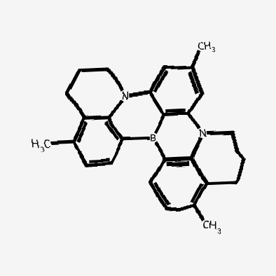 Cc1cc2c3c(c1)N1CCCc4c(C)ccc(c41)B3c1ccc(C)c3c1N2CCC3